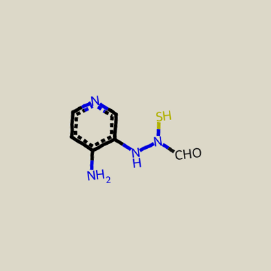 Nc1ccncc1NN(S)C=O